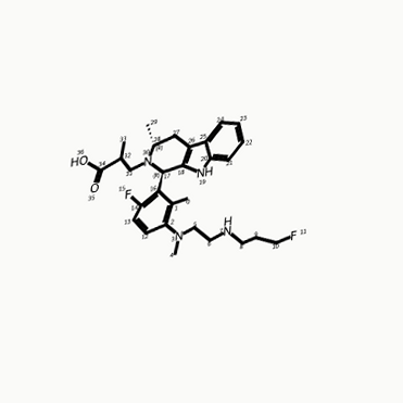 Cc1c(N(C)CCNCCCF)ccc(F)c1[C@@H]1c2[nH]c3ccccc3c2C[C@@H](C)N1CC(C)C(=O)O